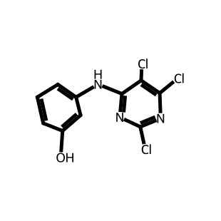 Oc1cccc(Nc2nc(Cl)nc(Cl)c2Cl)c1